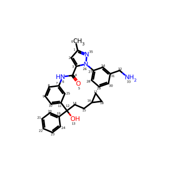 Cc1cc(C(=O)Nc2cccc(C(O)(CCC3CC3)c3ccccc3)c2)n(-c2cccc(CN)c2)n1